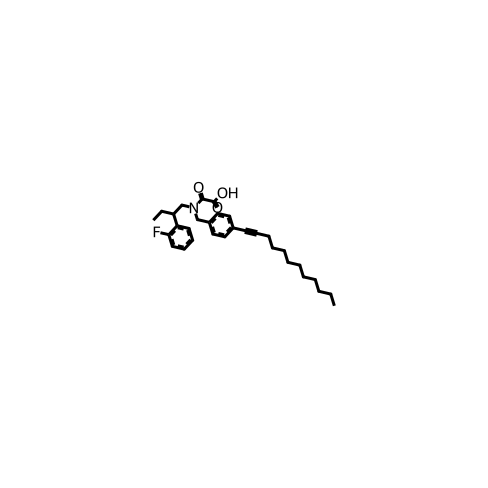 CCCCCCCCCCC#Cc1ccc(CN(CC(CC)c2ccccc2F)C(=O)C(=O)O)cc1